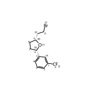 FC(F)(F)c1cccc([C@@H]2CC[C@H](CCBr)O2)c1